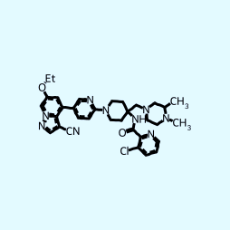 CCOc1cc(-c2ccc(N3CCC(CN4CCN(C)C(C)C4)(NC(=O)c4ncccc4Cl)CC3)nc2)c2c(C#N)cnn2c1